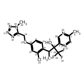 Cc1cnc(C(O)(C(C)c2ccc(OCc3nnnn3C)cc2Cl)C(F)(F)F)cn1